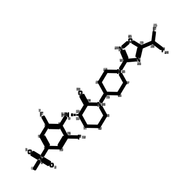 CS(=O)(=O)c1cc(F)c(N[C@H]2CCCN(C3CCN(c4noc(C(F)F)n4)CC3)C2=O)c(F)c1